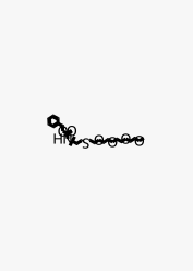 COCCOCCOCCOCCSCCC(C)(C)NC(=O)OCc1ccccc1